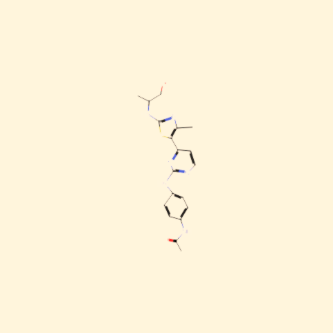 CC(=O)Nc1ccc(Nc2nccc(-c3sc(NC(C)CO)nc3C)n2)cc1